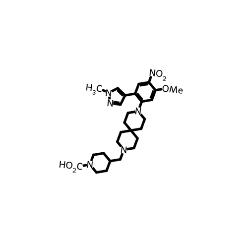 COc1cc(N2CCC3(CCN(CC4CCN(C(=O)O)CC4)CC3)CC2)c(-c2cnn(C)c2)cc1[N+](=O)[O-]